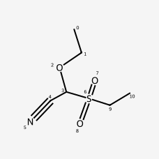 CCOC(C#N)S(=O)(=O)CC